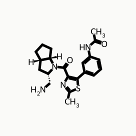 CC(=O)Nc1cccc(-c2sc(C)nc2C(=O)N2[C@H](CN)C[C@@H]3CCC[C@@H]32)c1